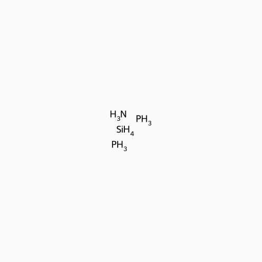 N.P.P.[SiH4]